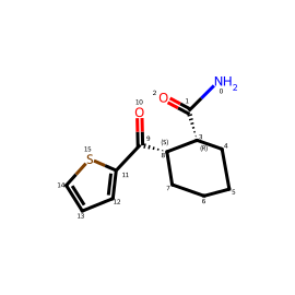 NC(=O)[C@@H]1CCCC[C@@H]1C(=O)c1cccs1